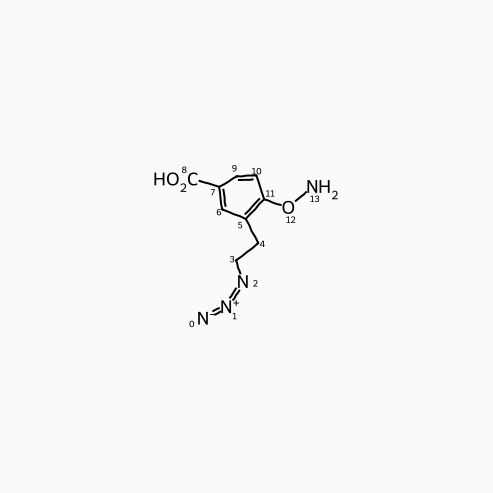 [N-]=[N+]=NCCc1cc(C(=O)O)ccc1ON